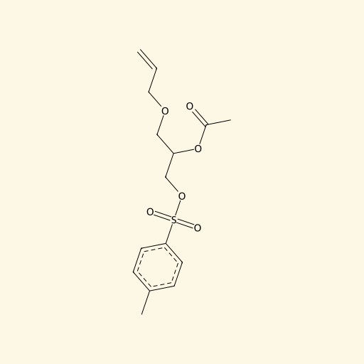 C=CCOCC(COS(=O)(=O)c1ccc(C)cc1)OC(C)=O